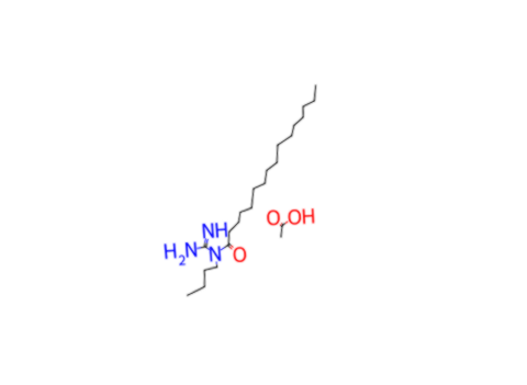 CC(=O)O.CCCCCCCCCCCCCCCC(=O)N(CCCC)C(=N)N